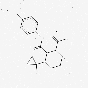 CC1(C2CCCC(C(N)=O)C2C(=O)Nc2ccc(I)cc2)CC1